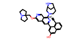 C#Cc1cccc2cc(O)cc(-c3cc4cc(OCC56CCCN5CCC6)ncc4c(N4CCC5CNC(C5)C4)n3)c12